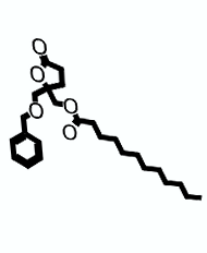 CCCCCCCCCCCC(=O)OCC1(COCC2=CC=C=C=C2)CCC(=O)O1